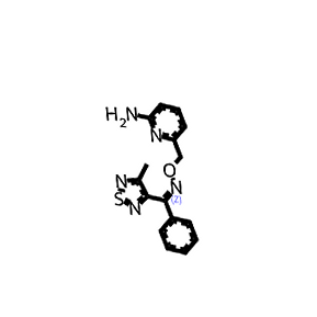 Cc1nsnc1/C(=N\OCc1cccc(N)n1)c1ccccc1